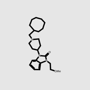 COCCn1c(=O)n(C2CCN(CC3CCCCCCC3)CC2)c2ccccc21